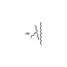 Br.CCCCCCCCCCCCC.CCCCP(CCCC)CCCC